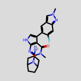 Cn1cc2cc(-c3c[nH]c4nc(N5C6CCC5CC(N)C6)n(C)c(=O)c34)c(F)cc2n1